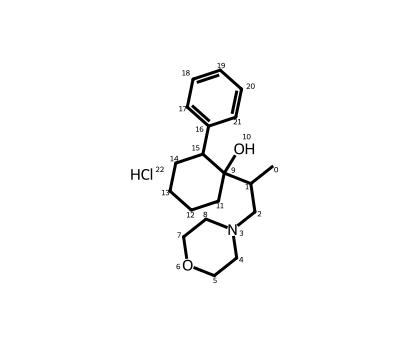 CC(CN1CCOCC1)C1(O)CCCCC1c1ccccc1.Cl